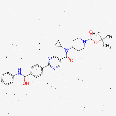 CC(C)(C)OC(=O)N1CCC(N(C(=O)c2cnc(-c3ccc(C(O)Nc4ccccc4)cc3)nc2)C2CC2)CC1